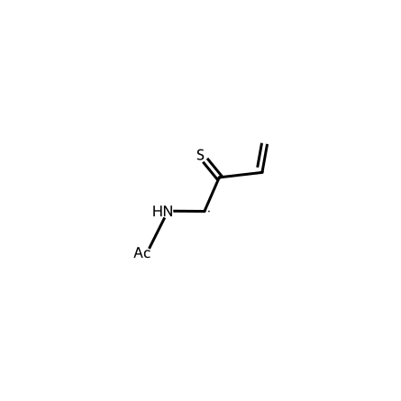 C=CC(=S)[CH]NC(C)=O